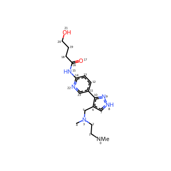 CNCCN(C)Cc1c[nH]nc1-c1ccc(NC(=O)CCCO)nc1